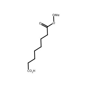 COOC(=O)CCCCCCC(=O)O